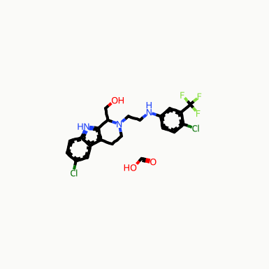 O=CO.OCC1c2[nH]c3ccc(Cl)cc3c2CCN1CCNc1ccc(Cl)c(C(F)(F)F)c1